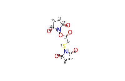 O=C(CSN1C(=O)C=CC1=O)ON1C(=O)CCC1=O